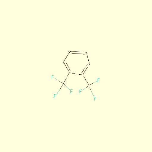 FC(F)(F)c1c[c]ccc1C(F)(F)F